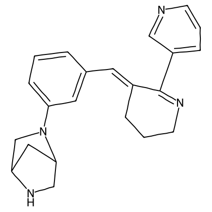 C(=C1CCCN=C1c1cccnc1)c1cccc(N2CC3CC2CN3)c1